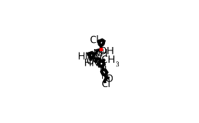 Cc1cc(N2CCN(C(=O)CCl)CC2)cc2[nH]c(-c3c(NC[C@@H](O)c4cccc(Cl)c4)cc[nH]c3=O)nc12